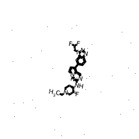 CCN1CC[C@H](Nc2ncc3c(-c4ccc5nnn(CC(F)F)c5c4)ccn3n2)[C@H](F)C1